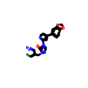 NC/C(=C\F)Cn1ncn(-c2cc(-c3ccc4c(c3)OCO4)ccn2)c1=O